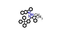 CC1(C)c2ccccc2-c2c(-c3ccc4c(c3)C(c3ccccc3)(c3ccccc3)c3ccccc3-4)nc(-n3c4ccccc4c4cc5ccccc5cc43)nc21